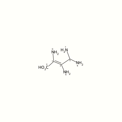 NC(C(=O)O)=C(N)C(N)N